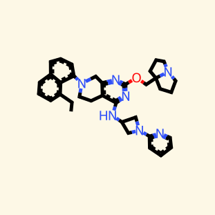 CCc1cccc2cccc(N3CCc4c(nc(OCC56CCCN5CCC6)nc4NC4CN(c5ccccn5)C4)C3)c12